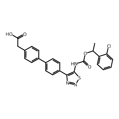 CC(OC(=O)Nc1snnc1-c1ccc(-c2ccc(CC(=O)O)cc2)cc1)c1ccccc1Cl